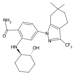 CC1(C)CCc2c(C(F)(F)F)nn(-c3ccc(C(N)=O)c(N[C@@H]4CCCC[C@H]4O)c3)c2C1